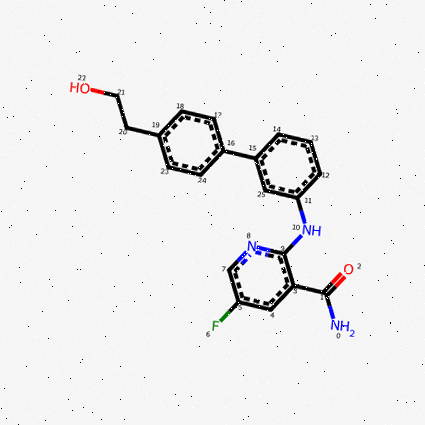 NC(=O)c1cc(F)cnc1Nc1cccc(-c2ccc(CCO)cc2)c1